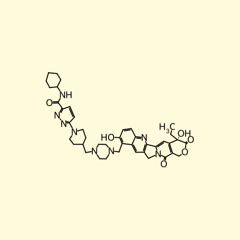 CC[C@@]1(O)C(=O)OCc2c1cc1n(c2=O)Cc2cc3c(CN4CCN(CC5CCN(c6ccc(C(=O)NC7CCCCC7)nn6)CC5)CC4)c(O)ccc3nc2-1